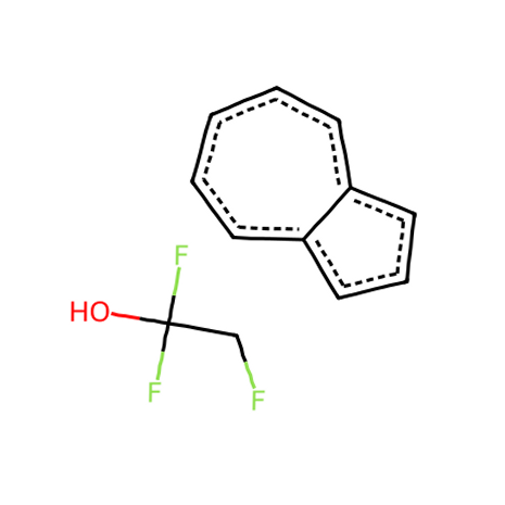 OC(F)(F)CF.c1ccc2cccc-2cc1